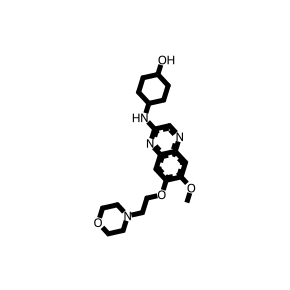 COc1cc2ncc(NC3CCC(O)CC3)nc2cc1OCCN1CCOCC1